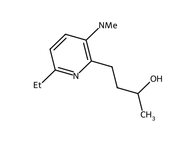 CCc1ccc(NC)c(CCC(C)O)n1